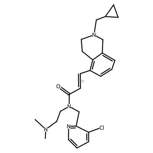 CN(C)CCN(Cc1ncccc1Cl)C(=O)/C=C/c1cccc2c1CCN(CC1CC1)C2